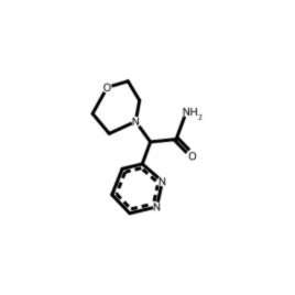 NC(=O)C(c1cccnn1)N1CCOCC1